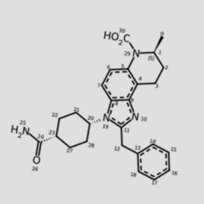 C[C@H]1CCc2c(ccc3c2nc(Cc2ccccc2)n3[C@H]2CC[C@@H](C(N)=O)CC2)N1C(=O)O